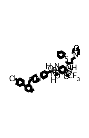 CC1(C)CCC(c2ccc(Cl)cc2)=C(CN2CCN(c3ccc(C(=O)NS(=O)(=O)c4cc(S(=O)(=O)C(F)(F)F)c(NC(CCCN5CCOCC5)CSc5ccccc5)cc4N)cc3)CC2)C1